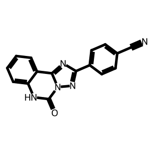 N#Cc1ccc(-c2nc3c4ccccc4[nH]c(=O)n3n2)cc1